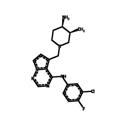 C[C@H]1CN(Cc2ccn3ncnc(Nc4ccc(F)c(Cl)c4)c23)CC[C@H]1N